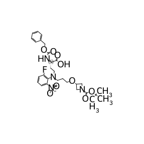 CC(C)(C)OC(=O)N1CC(OCCCN(CC[C@H](NC(=O)OCc2ccccc2)C(=O)O)c2c(F)cccc2[N+](=O)[O-])C1